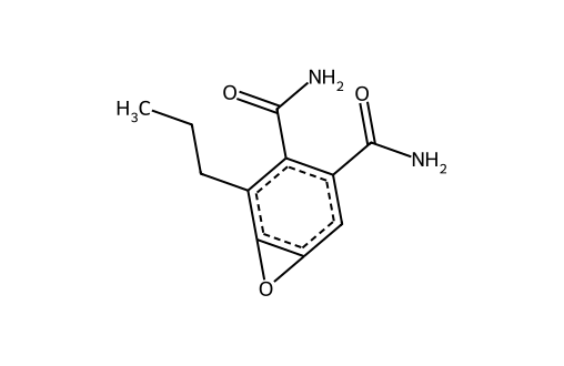 CCCc1c2c(cc(C(N)=O)c1C(N)=O)O2